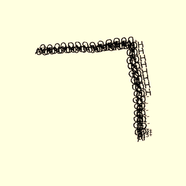 O=[N+]([O-])O.O=[N+]([O-])O.O=[N+]([O-])O.O=[N+]([O-])O.O=[N+]([O-])O.O=[N+]([O-])O.O=[N+]([O-])O.O=[N+]([O-])O.O=[N+]([O-])O.O=[N+]([O-])O.O=[N+]([O-])O.O=[N+]([O-])O.O=[N+]([O-])O.O=[N+]([O-])O.O=[N+]([O-])[O-].O=[N+]([O-])[O-].O=[N+]([O-])[O-].O=[N+]([O-])[O-].O=[N+]([O-])[O-].O=[N+]([O-])[O-].O=[N+]([O-])[O-].O=[N+]([O-])[O-].O=[N+]([O-])[O-].O=[N+]([O-])[O-].O=[N+]([O-])[O-].O=[N+]([O-])[O-].[Al+3].[Al+3].[Al+3].[Al+3]